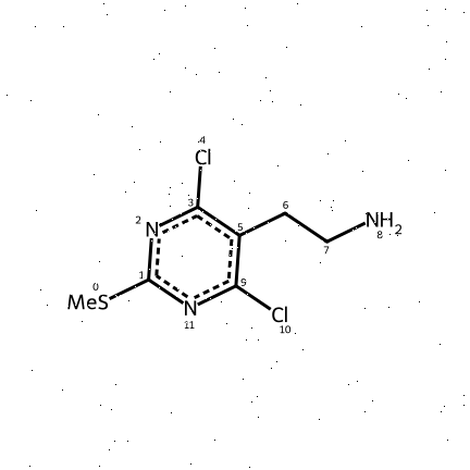 CSc1nc(Cl)c(CCN)c(Cl)n1